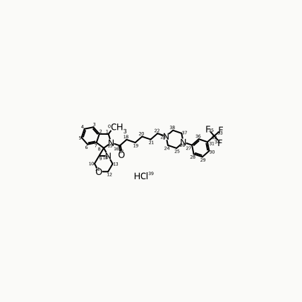 CC1c2ccccc2C2(C3COCCN32)N1C(=O)CCCCCN1CCN(c2cccc(C(F)(F)F)c2)CC1.Cl